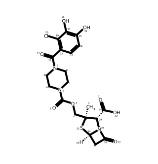 C[C@@]1(COC(=O)N2CCN(C(=O)c3ccc(O)c(O)c3Cl)CC2)S[C@@H]2CC(=O)N2[C@H]1C(=O)O